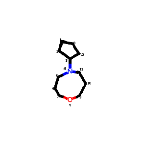 C1CCC(N2CCCOCCC2)C1